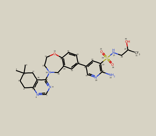 CC1(C)CCc2ncnc(N3CCOc4ccc(-c5cnc(N)c(S(=O)(=O)NCC(O)C(F)(F)F)c5)cc4C3)c2C1